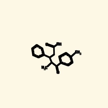 Cc1ccc(C(=O)C(C)C(CC(=O)O)c2ccccc2)cc1